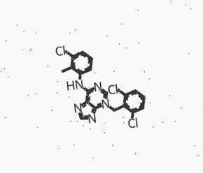 Cc1c(Cl)cccc1Nc1ncn(Cc2c(Cl)cccc2Cl)c2ncnc1-2